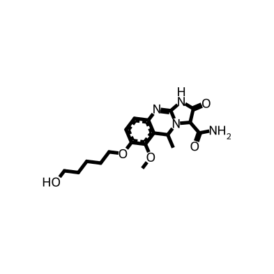 COc1c(OCCCCCO)ccc2c1C(C)N1C(=N2)NC(=O)C1C(N)=O